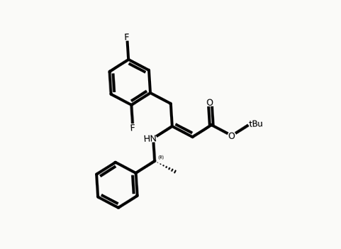 C[C@@H](NC(=CC(=O)OC(C)(C)C)Cc1cc(F)ccc1F)c1ccccc1